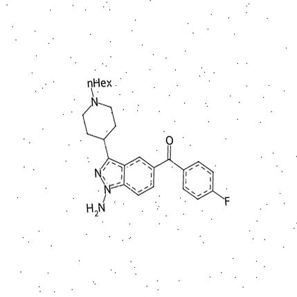 CCCCCCN1CCC(c2nn(N)c3ccc(C(=O)c4ccc(F)cc4)cc23)CC1